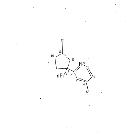 CCCC1(c2cc(C)ccn2)CCC(C)C1